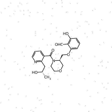 C[C@H](O)Cc1ncccc1C(=O)N1CCOC[C@@H]1COc1cccc(O)c1C=O